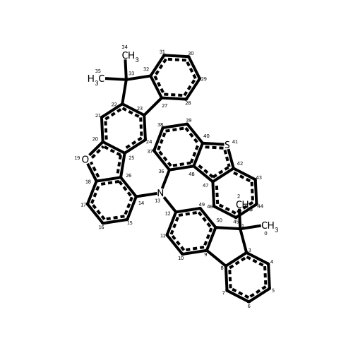 CC1(C)c2ccccc2-c2ccc(N(c3cccc4oc5cc6c(cc5c34)-c3ccccc3C6(C)C)c3cccc4sc5ccccc5c34)cc21